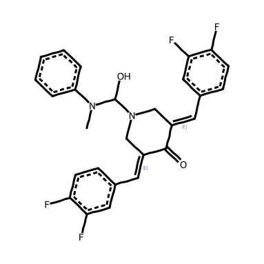 CN(c1ccccc1)C(O)N1C/C(=C\c2ccc(F)c(F)c2)C(=O)/C(=C/c2ccc(F)c(F)c2)C1